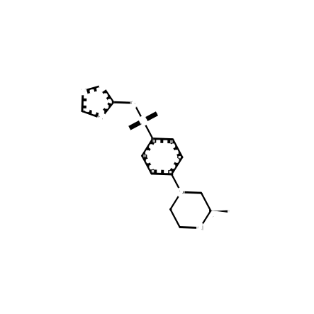 O=S(=O)(Nc1ncns1)c1ccc(N2CCN[C@H](F)C2)cc1